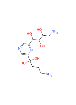 NCCCC(O)(O)c1cncc(C(O)C(O)C(O)CN)n1